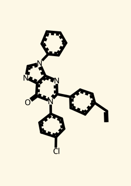 C=Cc1ccc(-c2nc3c(ncn3-c3ccccc3)c(=O)n2-c2ccc(Cl)cc2)cc1